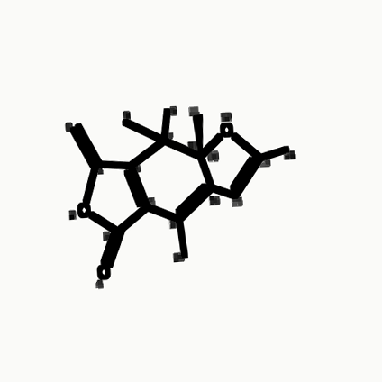 C=C1OC(=O)C2=C1C(C)(C)[C@]1(C)OC(C)=CC1=C2C